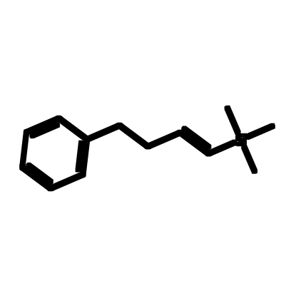 C[Si](C)(C)C=CCCc1ccccc1